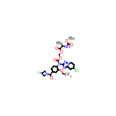 CC(C)(C)OC(=O)NC(C(=O)OCOC(=O)N(c1nc2cc(Cl)ccn2n1)c1ccc(C(=O)N2CC(F)C2)cc1OCC(F)(F)F)C(C)(C)C